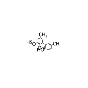 Cc1ccc(O)c(-c2cc(C)cc(OS)c2O)c1